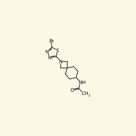 CC(=O)NC1CCC2(CC1)CN(c1nnc(Br)s1)C2